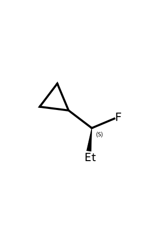 CC[C@H](F)C1CC1